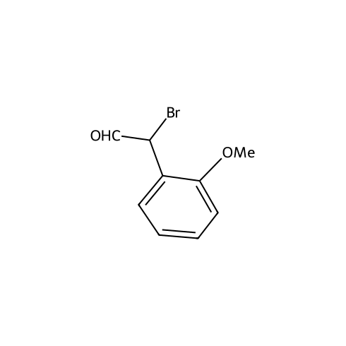 COc1ccccc1C(Br)C=O